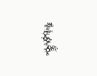 CC1(C)C[C@H](Nc2ncnc3c2ccn3[C@@H]2CC[C@@](O)(COS(N)(=O)=O)C2)c2ccc(Cl)cc21